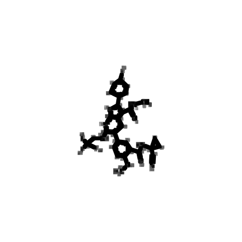 CNC(=O)c1c(-c2ccc(F)cc2)oc2nc(NCC(F)(F)F)c(-c3ccc(OC)c(C(=O)NC4(C#N)CC4)c3)cc12